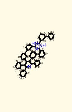 c1ccc(-c2cccc(C3NC(c4cccc(-c5cccc(-c6c(-c7ccccc7)c(-c7ccccc7)nc(-c7ccccc7)c6-c6ccccc6)c5)c4)=NC(c4ccccc4)N3)c2)cc1